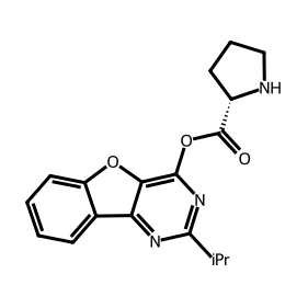 CC(C)c1nc(OC(=O)[C@@H]2CCCN2)c2oc3ccccc3c2n1